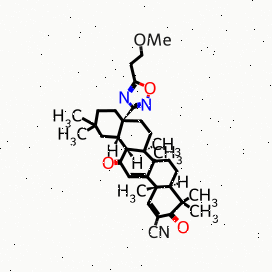 COCCc1nc([C@]23CCC(C)(C)C[C@H]2[C@H]2C(=O)C=C4[C@@]5(C)C=C(C#N)C(=O)C(C)(C)[C@@H]5CC[C@@]4(C)[C@]2(C)CC3)no1